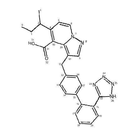 CCC(C)c1ccn2ncc(Cc3ccc(-c4ccccc4-c4nnn[nH]4)cc3)c2c1C(=O)O